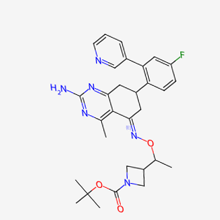 Cc1nc(N)nc2c1/C(=N/OC(C)C1CN(C(=O)OC(C)(C)C)C1)CC(c1ccc(F)cc1-c1cccnc1)C2